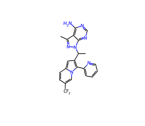 Cc1nn(C(C)c2cc3ccc(C(F)(F)F)cn3c2-c2ccccn2)c2ncnc(N)c12